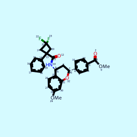 COC(=O)c1ccc([C@H]2C[C@@H](NC(=O)C3(c4ccccc4)CC(F)(F)C3)c3ccc(OC)cc3O2)cc1